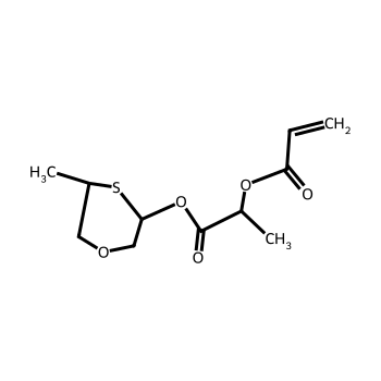 C=CC(=O)OC(C)C(=O)OC1COCC(C)S1